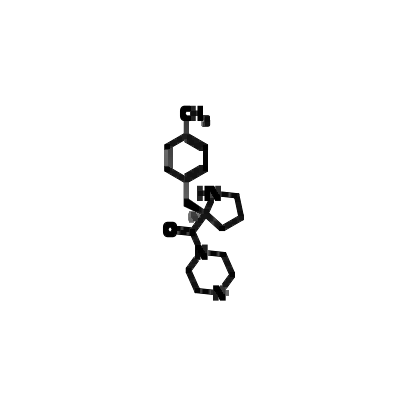 Cc1ccc(C[C@]2(C(=O)N3CC[N]CC3)CCCN2)cc1